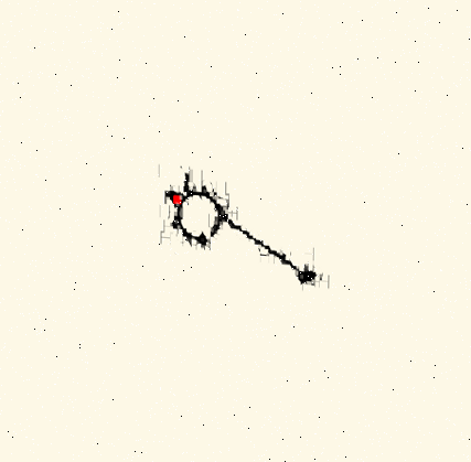 CC(C)[C@@H]1NC(=O)[C@@H](N)Cc2cn(nn2)CCCC[C@@H](C(=O)NCCCOCCOCCOCCCNC(=O)CCCC[C@H]2SC[C@H]3NC(=O)N[C@H]32)NC(=O)CNC(=O)[C@H](CO)NC(=O)[C@H](CCCCN)NC(=O)[C@H](Cc2c[nH]cn2)NC1=O